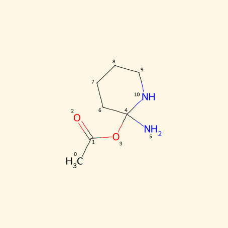 CC(=O)OC1(N)CCCCN1